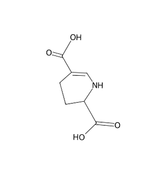 O=C(O)C1=CNC(C(=O)O)CC1